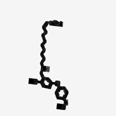 CCCCCCCC/C=C\CCCCCCCCNCc1cc(Oc2ccc(SO)cc2)ccc1O